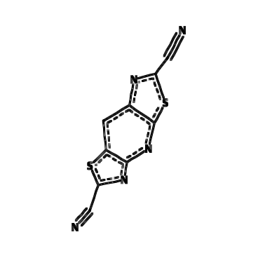 N#Cc1nc2nc3sc(C#N)nc3cc2s1